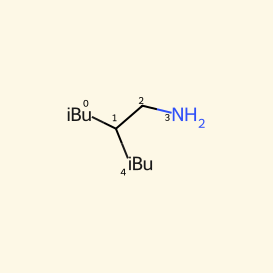 CCC(C)C(CN)C(C)CC